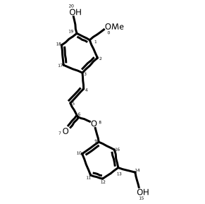 COc1cc(C=CC(=O)Oc2cccc(CO)c2)ccc1O